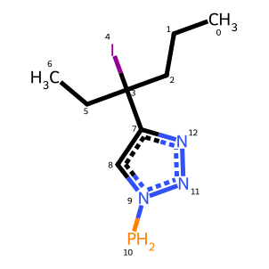 CCCC(I)(CC)c1cn(P)nn1